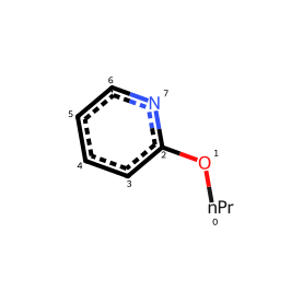 CCCOc1ccc[c]n1